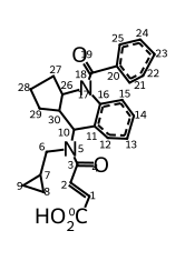 O=C(O)C=CC(=O)N(CC1CC1)C1c2ccccc2N(C(=O)c2ccccc2)C2CCCC12